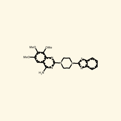 COc1cc2c(N)nc(N3CCN(c4nc5ccccc5s4)CC3)nc2c(OC)c1OC